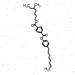 CCCCCCCCc1ccc(OC(=O)c2ccc(C(=O)OCCCCC(C)CC)cc2)cc1